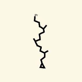 CC(C)CCCC(C)CCCC(C)CCCC(C)CCC1CC1